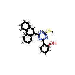 CSc1nc(-c2ccccc2O)nc(-c2cc3ccccc3c3ccccc23)n1